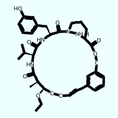 CCO[C@@H]1CC/C=C/c2cccc(c2)COC(=O)[C@@H]2CCCN(N2)C(=O)[C@H](Cc2cccc(O)c2)NC(=O)[C@H](C(C)C)NC(=O)[C@@H]1C